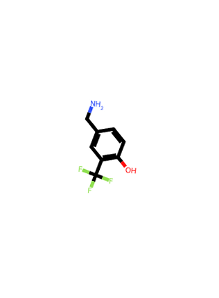 NCc1ccc(O)c(C(F)(F)F)c1